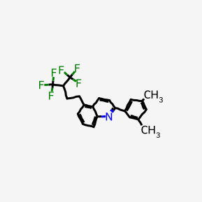 Cc1cc(C)cc(-c2ccc3c(CCC(C(F)(F)F)C(F)(F)F)cccc3n2)c1